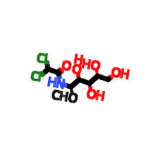 O=C[C@H](NC(=O)C(Cl)Cl)[C@@H](O)[C@H](O)[C@H](O)CO